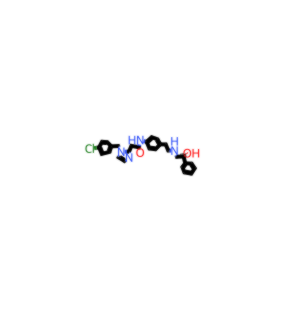 O=C(Cc1nccn1Cc1ccc(Cl)cc1)Nc1ccc(CCNC[C@H](O)c2ccccc2)cc1